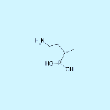 CC(CCN)P(O)O